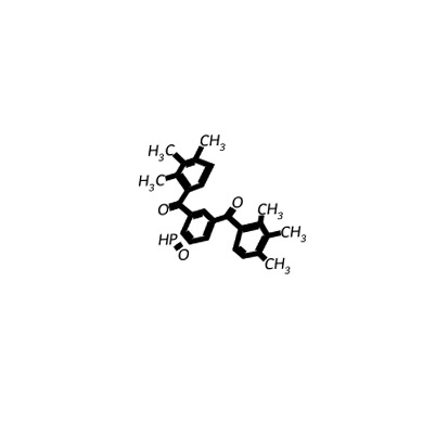 Cc1ccc(C(=O)c2cccc(C(=O)c3ccc(C)c(C)c3C)c2)c(C)c1C.O=P